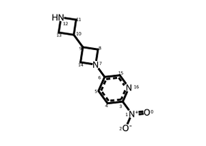 O=[N+]([O-])c1ccc(N2CC(C3CNC3)C2)cn1